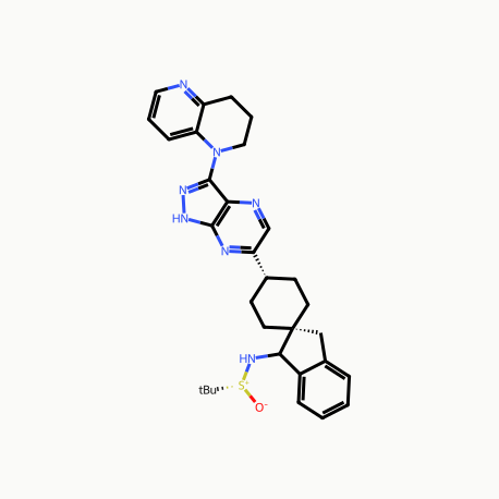 CC(C)(C)[S@@+]([O-])NC1c2ccccc2C[C@]12CC[C@@H](c1cnc3c(N4CCCc5ncccc54)n[nH]c3n1)CC2